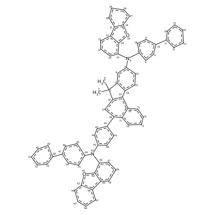 CC1(C)c2cc(N(c3ccc(-c4ccccc4)cc3)c3cccc4c3oc3ccccc34)ccc2-c2c1cc(-c1ccc(N(c3ccc(-c4ccccc4)cc3)c3cccc4c3oc3ccccc34)cc1)c1ccccc21